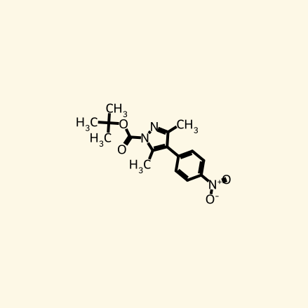 Cc1nn(C(=O)OC(C)(C)C)c(C)c1-c1ccc([N+](=O)[O-])cc1